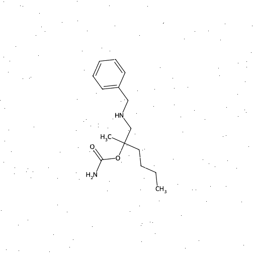 CCCCC(C)(CNCc1ccccc1)OC(N)=O